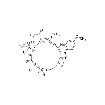 CC[C@@H]1[C@@H]2CN(C(=O)[C@H](C(C)(C)C)NC(=O)O[C@]3(C)C[C@H]3CCCC3(CC3)C(F)(F)c3nc4ccc(OC)cc4nc3O2)[C@@H]1C(C)=O